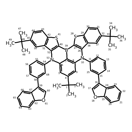 CC(C)(C)c1cc2c3c(c1)N(c1cccc(-c4coc5ccccc45)c1)c1c(sc4ccc(C(C)(C)C)cc14)B3c1sc3ccc(C(C)(C)C)cc3c1N2c1cccc(-c2coc3ccccc23)c1